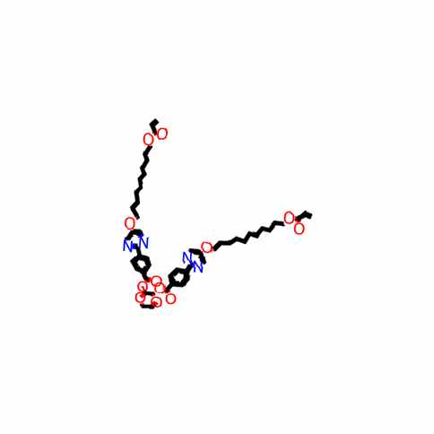 C=CC(=O)OCCCCCCCCCCCOc1cnc(-c2ccc(C(=O)O[C@@H]3OCCO[C@H]3OC(=O)c3ccc(-c4ncc(OCCCCCCCCCCCOC(=O)C=C)cn4)cc3)cc2)nc1